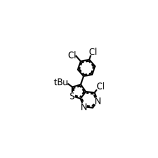 CC(C)(C)c1sc2ncnc(Cl)c2c1-c1ccc(Cl)c(Cl)c1